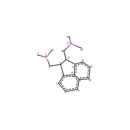 CP(C)CC1c2cccc3cccc(c23)C1CP(C)C